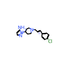 Nc1ccnn1C1CCN(C/C=C/c2ccc(Cl)cc2)CC1